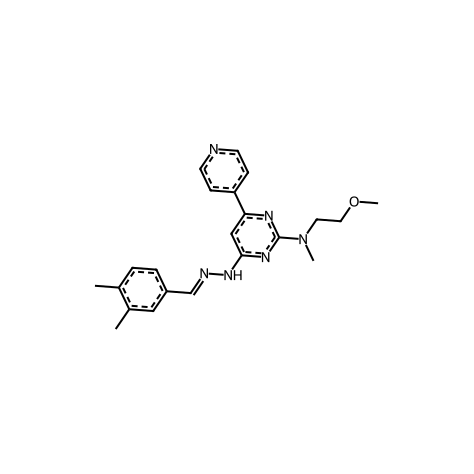 COCCN(C)c1nc(NN=Cc2ccc(C)c(C)c2)cc(-c2ccncc2)n1